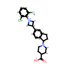 O=C(O)C1CCN(C2CCc3cc(C4CN(c5c(Cl)cccc5Cl)C4)ccc32)CC1